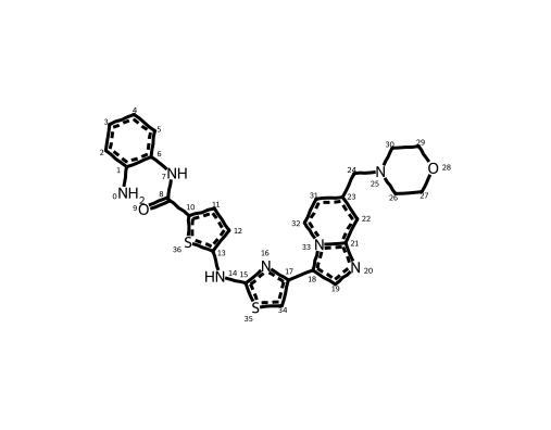 Nc1ccccc1NC(=O)c1ccc(Nc2nc(-c3cnc4cc(CN5CCOCC5)ccn34)cs2)s1